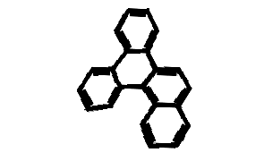 [c]1ccc2c3ccccc3c3ccc4ccccc4c3c2c1